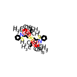 CCC(C)O[Si](OC(C)CC)(OC(C)CC)C(CSSCC(c1nc2ccccc2s1)[Si](OC(C)CC)(OC(C)CC)OC(C)CC)c1nc2ccccc2s1